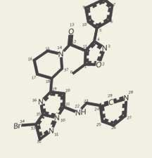 Cc1onc(-c2ccccc2)c1C(=O)N1CCCC(c2cc(NCc3cccnc3)n3ncc(Br)c3n2)C1